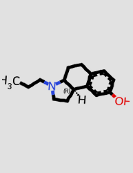 CCCN1CC[C@@H]2c3cc(O)ccc3CCC21